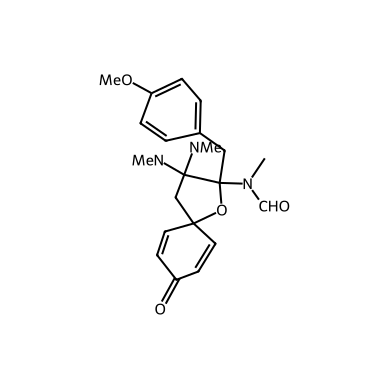 CNC1(NC)CC2(C=CC(=O)C=C2)OC1(Cc1ccc(OC)cc1)N(C)C=O